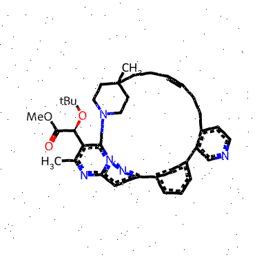 COC(=O)[C@@H](OC(C)(C)C)c1c(C)nc2cc3nn2c1N1CCC(C)(CCC=CCCc2ccncc2-c2cccc-3c2)CC1